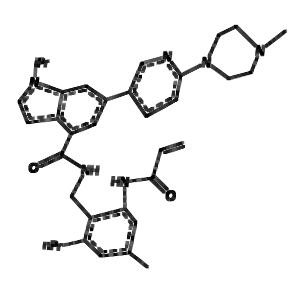 C=CC(=O)Nc1cc(C)cc(CCC)c1CNC(=O)c1cc(-c2ccc(N3CCN(C)CC3)nc2)cc2c1ccn2C(C)C